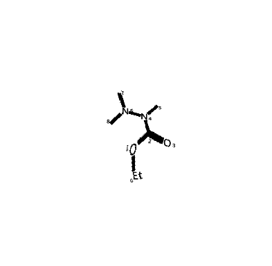 CCOC(=O)N(C)N(C)C